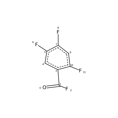 O=C(F)c1cc(F)c(F)cc1F